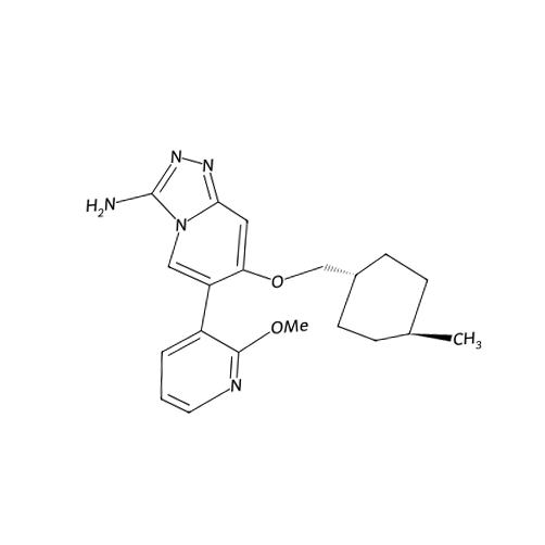 COc1ncccc1-c1cn2c(N)nnc2cc1OC[C@H]1CC[C@H](C)CC1